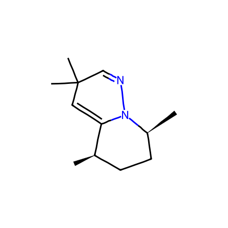 C[C@@H]1CC[C@H](C)N2N=CC(C)(C)C=C12